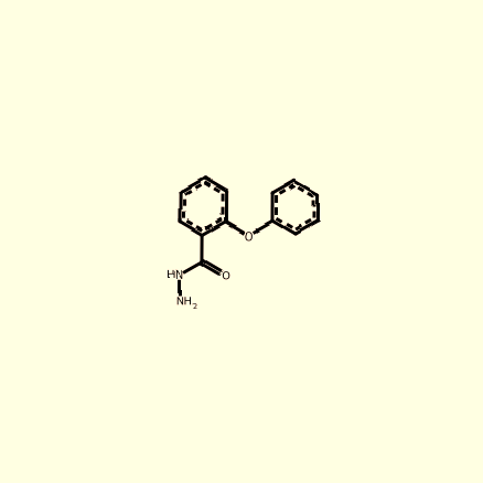 NNC(=O)c1ccccc1Oc1ccccc1